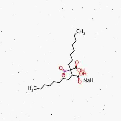 CCCCCCCCC(C(=O)O)C(CCCCCCCC)(C(=O)O)P(=O)=O.[NaH]